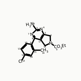 CCOC(=O)N1Cc2nc(N)nc(-c3ccc(Cl)cc3C)c2C1